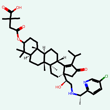 CC(C)C1=C2[C@H]3CC[C@@H]4[C@@]5(C)CCC(OC(=O)CC(C)(C)C(=O)O)C(C)(C)[C@@H]5CC[C@@]4(C)[C@]3(C)CC[C@@]2([C@H](O)CN[C@@H](C)c2ccc(Cl)cn2)CC1=O